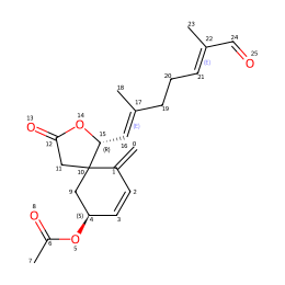 C=C1C=C[C@@H](OC(C)=O)CC12CC(=O)O[C@@H]2/C=C(\C)CC/C=C(\C)C=O